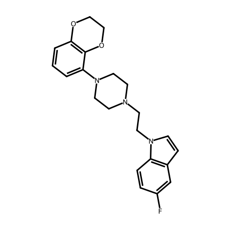 Fc1ccc2c(ccn2CCN2CCN(c3cccc4c3OCCO4)CC2)c1